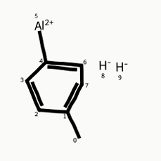 Cc1cc[c]([Al+2])cc1.[H-].[H-]